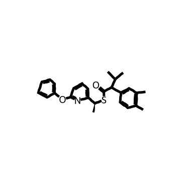 Cc1ccc(C(C(=O)S[C@@H](C)c2cccc(Oc3ccccc3)n2)C(C)C)cc1C